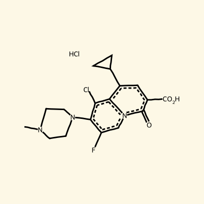 CN1CCN(c2c(F)cn3c(=O)c(C(=O)O)cc(C4CC4)c3c2Cl)CC1.Cl